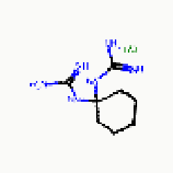 Cl.N=C(N)NC1(NC(=N)N)CCCCC1